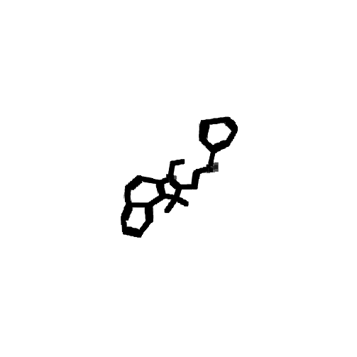 CC[N+]1=C(C=CNc2ccccc2)C(C)(C)c2c1ccc1ccccc21